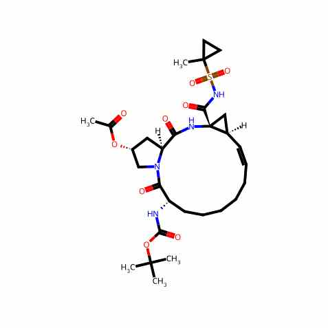 CC(=O)O[C@@H]1C[C@H]2C(=O)N[C@]3(C(=O)NS(=O)(=O)C4(C)CC4)C[C@H]3/C=C\CCCCC[C@H](NC(=O)OC(C)(C)C)C(=O)N2C1